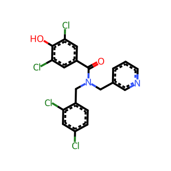 O=C(c1cc(Cl)c(O)c(Cl)c1)N(Cc1cccnc1)Cc1ccc(Cl)cc1Cl